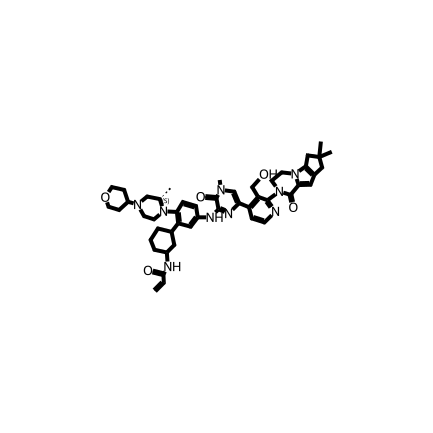 C=CC(=O)NC1CCCC(c2cc(Nc3nc(-c4ccnc(N5CCn6c(cc7c6CC(C)(C)C7)C5=O)c4CO)cn(C)c3=O)ccc2N2CCN(C3CCOCC3)C[C@@H]2C)C1